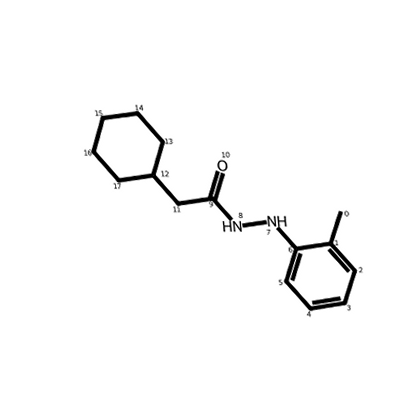 Cc1ccccc1NNC(=O)CC1CCCCC1